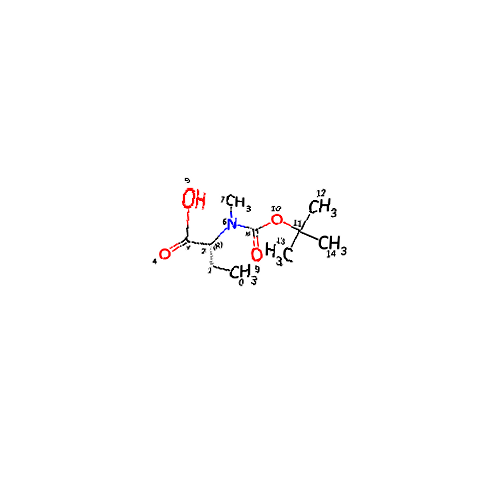 CC[C@H](C(=O)O)N(C)C(=O)OC(C)(C)C